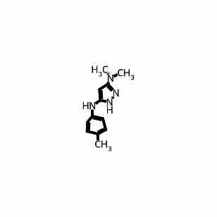 Cc1ccc(Nc2cc(N(C)C)n[nH]2)cc1